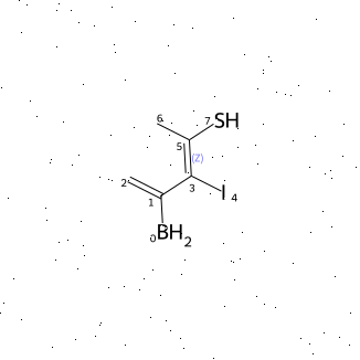 BC(=C)/C(I)=C(\C)S